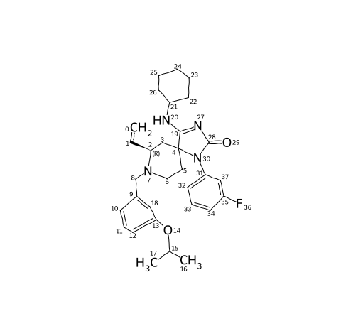 C=C[C@H]1CC2(CCN1Cc1cccc(OC(C)C)c1)C(NC1CCCCC1)=NC(=O)N2c1cccc(F)c1